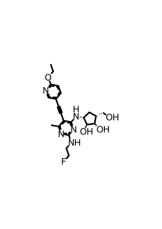 CCOc1ccc(C#Cc2c(C)nc(NCCF)nc2N[C@@H]2C[C@H](CO)[C@@H](O)[C@H]2O)cn1